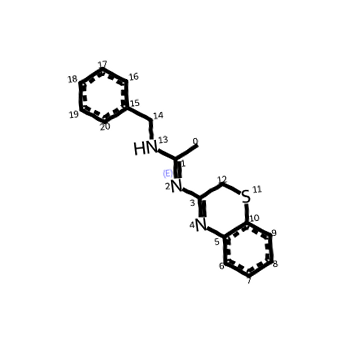 C/C(=N\C1=Nc2ccccc2SC1)NCc1ccccc1